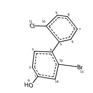 Oc1ccc(-c2ccccc2Cl)c(Br)c1